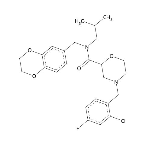 CC(C)CN(Cc1ccc2c(c1)OCCO2)C(=O)C1CN(Cc2ccc(F)cc2Cl)CCO1